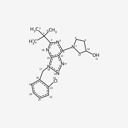 CC(C)(C)c1nc(N2CCC(O)C2)c2nnn(Cc3ccccc3Cl)c2n1